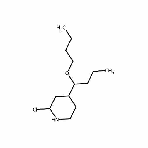 CCCCOC(CCC)C1C[CH]NC(Cl)C1